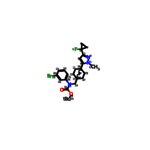 Cn1nc(C2(F)CC2)cc1C12CCC(CN(C(=O)OC(C)(C)C)c3cccc(Br)c3)(CC1)CC2